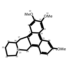 COc1ccc2c3c(c4cc(OC)c(OC)cc4c2c1)CC1CCCCN1C3